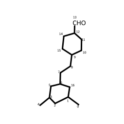 CC1CC(C)CC(CCC2CCC(C=O)CC2)C1